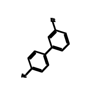 CCc1cccc(-c2ccc(C(C)=O)cc2)c1